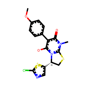 COc1ccc(-c2c([O-])[n+]3c(n(C)c2=O)SC[C@@H]3c2cnc(Cl)s2)cc1